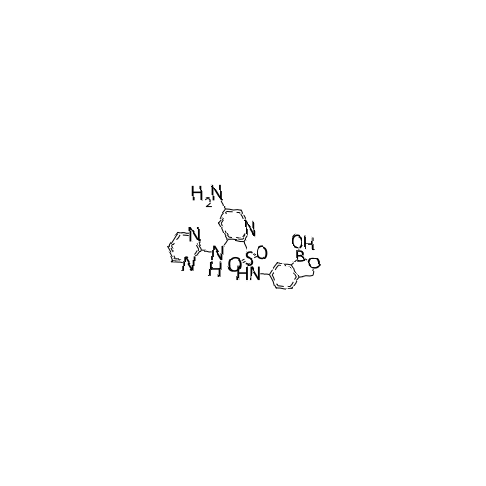 Nc1cnc(S(=O)(=O)Nc2ccc3c(c2)B(O)OC3)c(Nc2ncccn2)c1